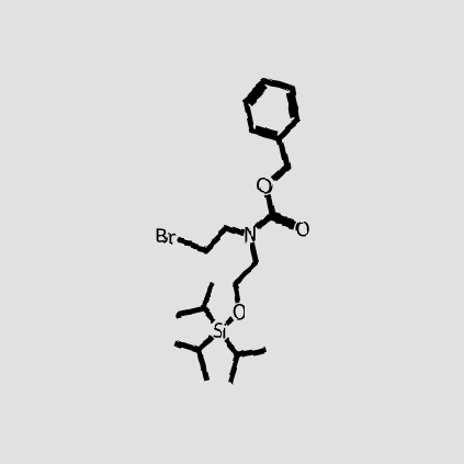 CC(C)[Si](OCCN(CCBr)C(=O)OCc1ccccc1)(C(C)C)C(C)C